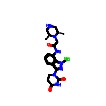 C[C@@H]1CNC[C@H](C)N1CC(=O)Nc1cccc2c(N3CCC(=O)NC3=O)nn(C)c12.Cl